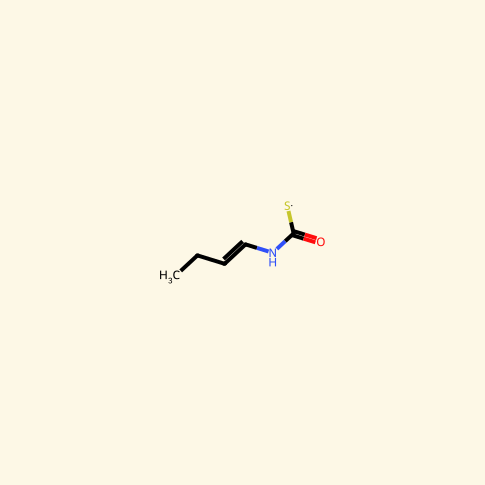 CCC=CNC(=O)[S]